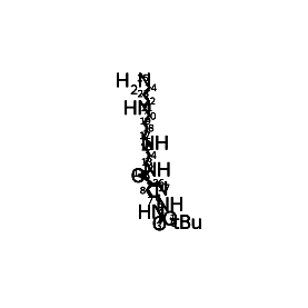 CC(C)(C)OC(=O)NNc1ccc(C(=O)NCCCNCCCCNCCCN)cn1